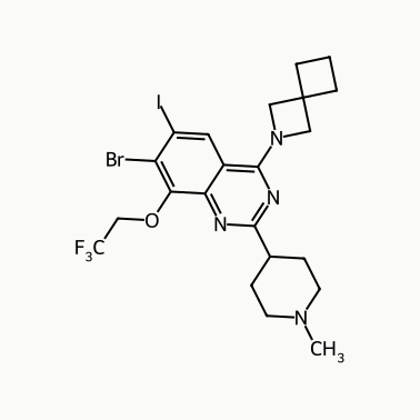 CN1CCC(c2nc(N3CC4(CCC4)C3)c3cc(I)c(Br)c(OCC(F)(F)F)c3n2)CC1